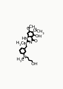 COc1cc2[nH]c(N(C)Cc3cccc(N(C)CCCO)c3)nc(=O)c2c(O)c1OC